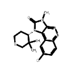 Cn1c(=O)n([C@H]2CCOCC2(C)C)c2c3cc(Cl)ccc3nnc21